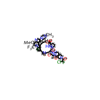 CO[C@@H](C)c1ncc(N2CCN(C)CC2)cc1-c1c2c3c(F)c(ccc3n1CC(F)(F)F)-c1csc(n1)C[C@H](NC(=O)[C@H](C(C)C)N1CCCC3(CCN(C(=O)[C@H](F)Cl)CC3)C1=O)C(=O)N1CCC[C@H](N1)C(=O)OCC(C)(C)C2